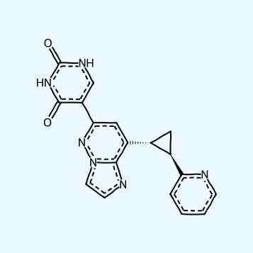 O=c1[nH]cc(-c2cc([C@@H]3C[C@H]3c3ccccn3)c3nccn3n2)c(=O)[nH]1